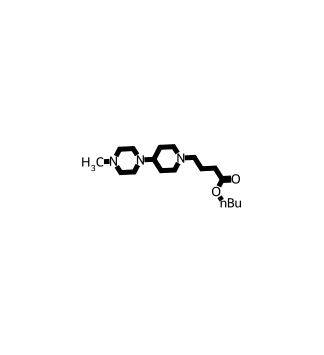 CCCCOC(=O)CCCN1CCC(N2CCN(C)CC2)CC1